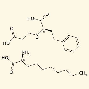 CCCCCCCC[C@H](N)C(=O)O.O=C(O)CCN[C@H](CCc1ccccc1)C(=O)O